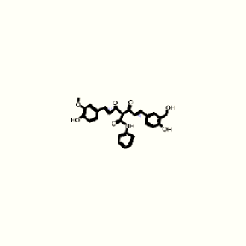 COc1cc(/C=C/C(=O)C(C(=O)/C=C/c2ccc(O)c(CO)c2)C(=O)Nc2ccccc2)ccc1O